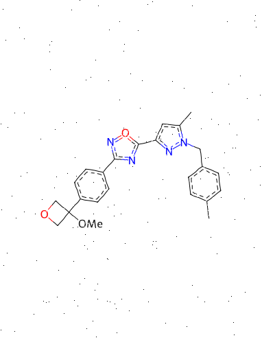 COC1(c2ccc(-c3noc(-c4cc(C)n(Cc5ccc(C)cc5)n4)n3)cc2)COC1